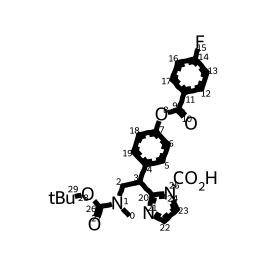 CN(CC(c1ccc(OC(=O)c2ccc(F)cc2)cc1)c1nccn1C(=O)O)C(=O)OC(C)(C)C